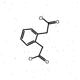 O=C(Cl)Cc1ccccc1CC(=O)Cl